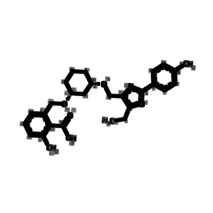 CCc1oc(-c2ccc(C)cc2)nc1CO[C@H]1CCC[C@@H](OCc2cccc(C)c2C(=O)O)C1